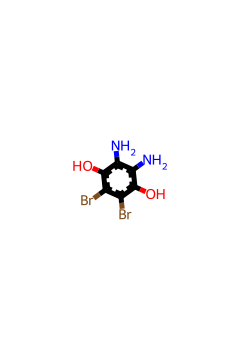 Nc1c(N)c(O)c(Br)c(Br)c1O